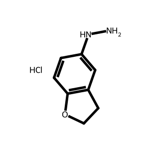 Cl.NNc1ccc2c(c1)CCO2